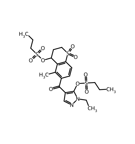 CCCS(=O)(=O)Oc1c(C(=O)c2ccc3c(c2C)C(OS(=O)(=O)CCC)CCS3(=O)=O)cnn1CC